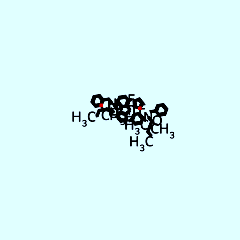 CCCC(C)(C)C(=O)N(Cc1ccccc1)c1ccc(F)[c]([Ti]([C]2=CC=CC2)([C]2=CC=CC2)[c]2c(F)ccc(N(Cc3ccccc3)C(=O)C(C)(C)CCC)c2F)c1F